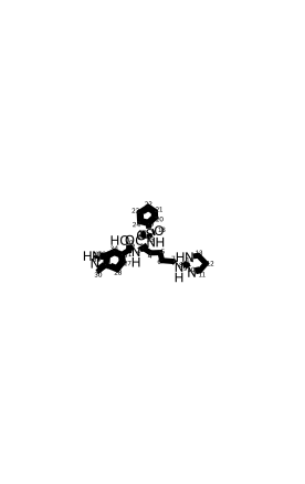 O=C(NC(CCCCNC1N=CCCN1)(NS(=O)(=O)c1ccccc1)C(=O)O)c1ccc2cn[nH]c2c1